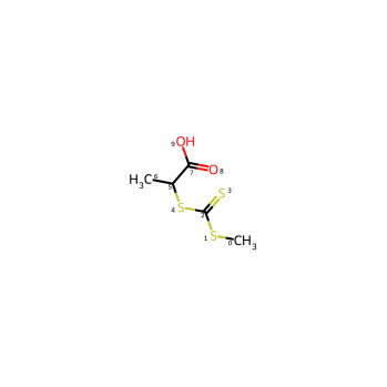 CSC(=S)SC(C)C(=O)O